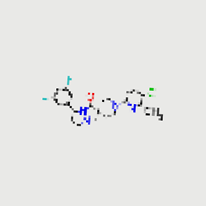 Cc1nc(N2CCC3(CC2)CN2CC[C@@H](c4cc(F)cc(F)c4)N2C3=O)ccc1Cl